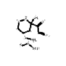 C=CC(=O)C1(C)CCCOO1.CCN.CCOS(=O)(=O)O